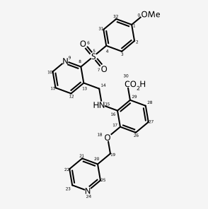 COc1ccc(S(=O)(=O)c2ncccc2CNc2c(OCc3cccnc3)cccc2C(=O)O)cc1